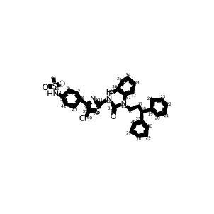 CS(=O)(=O)Nc1ccc(-c2nc(NC(=O)N(CCC(c3ccccc3)c3ccccc3)c3ccccc3F)sc2Cl)cc1